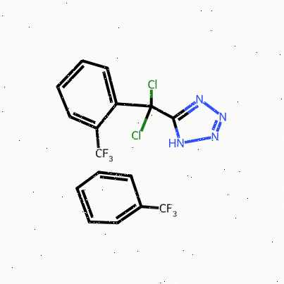 FC(F)(F)c1ccccc1.FC(F)(F)c1ccccc1C(Cl)(Cl)c1nnn[nH]1